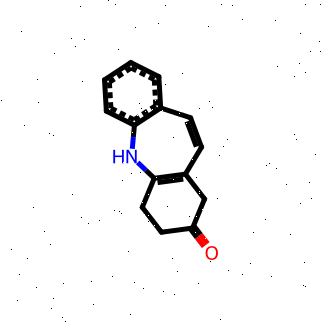 O=C1CCC2=C(C=Cc3ccccc3N2)C1